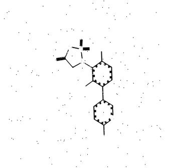 Cc1ccc(-c2ccc(O)c(N3CC(=O)NS3(=O)=O)c2F)cn1